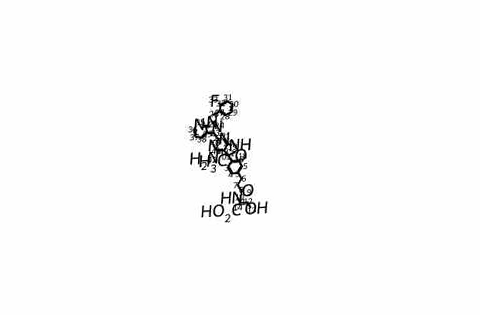 C[C@]1(c2ccc(CCC(=O)N[C@H](CO)C(=O)O)cc2)C(=O)Nc2nc(-c3nn(Cc4ccccc4F)c4ncccc34)nc(N)c21